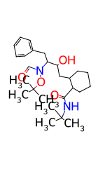 CC(C)(C)NC(=O)C1CCCCC1CC(O)C(Cc1ccccc1)N(C=O)OC(C)(C)C